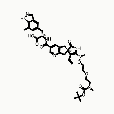 C=CC1=C(N(C)OCCOCCN(C)C(=O)OC(C)(C)C)NC(=O)[C@]12Cc1cc(C(=O)N[C@H](Cc3cc(C)c4[nH]ncc4c3)C(=O)O)cnc1C2